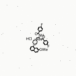 COc1ccc2cccc(N3CCN(CC(NC(=O)c4ccc(F)cc4)NC(=O)c4ccc(F)cc4)CC3)c2c1.Cl